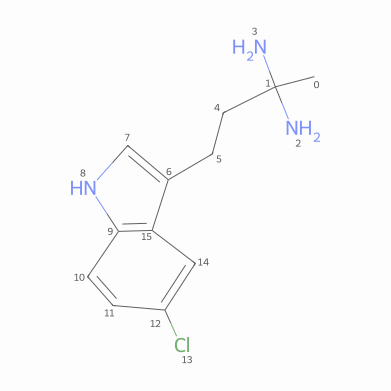 CC(N)(N)CCc1c[nH]c2ccc(Cl)cc12